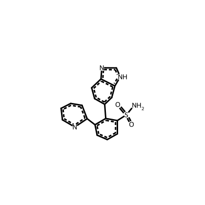 NS(=O)(=O)c1cccc(-c2ccccn2)c1-c1ccc2nc[nH]c2c1